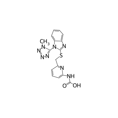 Cn1nnnc1-n1c(SCc2cccc(NC(=O)O)n2)nc2ccccc21